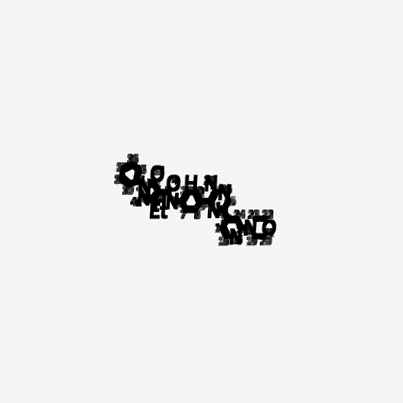 CCc1c(C(=O)Nc2ccc(-c3nc(-c4ccnc(N5CCOCC5)c4)cnc3N)cc2)c(=O)n(-c2ccccc2)n1C